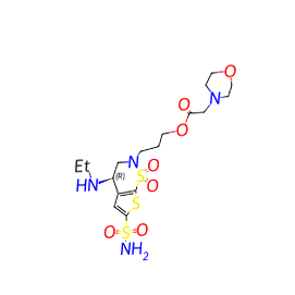 CCN[C@H]1CN(CCCOC(=O)CN2CCOCC2)S(=O)(=O)c2sc(S(N)(=O)=O)cc21